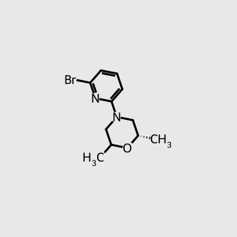 CC1CN(c2cccc(Br)n2)C[C@H](C)O1